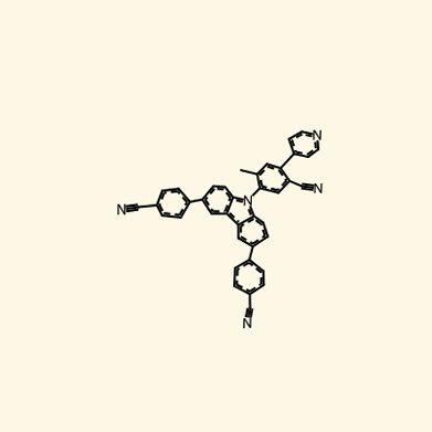 Cc1cc(-c2ccncc2)c(C#N)cc1-n1c2ccc(-c3ccc(C#N)cc3)cc2c2cc(-c3ccc(C#N)cc3)ccc21